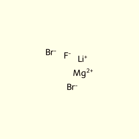 [Br-].[Br-].[F-].[Li+].[Mg+2]